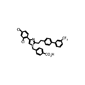 O=C(O)c1ccc(Cn2cc(-c3ccc(Cl)cc3Cl)nc2CCc2ccc(-c3cccc(C(F)(F)F)c3)cc2)cc1